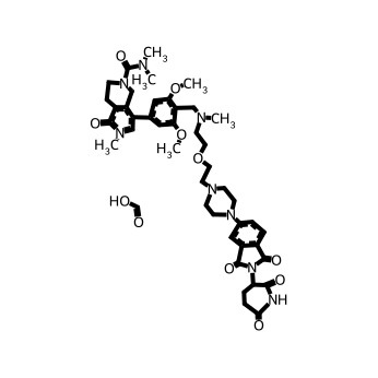 COc1cc(-c2cn(C)c(=O)c3c2CN(C(=O)N(C)C)CC3)cc(OC)c1CN(C)CCOCCN1CCN(c2ccc3c(c2)C(=O)N(C2CCC(=O)NC2=O)C3=O)CC1.O=CO